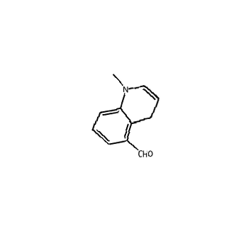 CN1C=CCc2c(C=O)cccc21